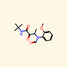 COc1ccccc1N(C=O)C(C)C(=O)C(=O)NC(C)(C)C